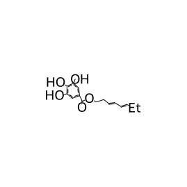 CCC=CC=CCCOC(=O)c1cc(O)c(O)c(O)c1